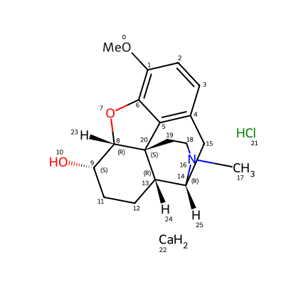 COc1ccc2c3c1O[C@H]1[C@@H](O)CC[C@H]4[C@@H](C2)N(C)CC[C@@]341.Cl.[CaH2]